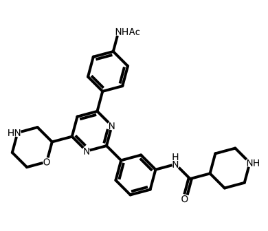 CC(=O)Nc1ccc(-c2cc(C3CNCCO3)nc(-c3cccc(NC(=O)C4CCNCC4)c3)n2)cc1